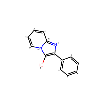 Oc1c(-c2ccccc2)nc2ccccn12